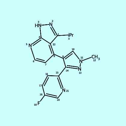 CC(C)c1n[nH]c2nccc(-c3cn(C)nc3-c3ccc(F)cn3)c12